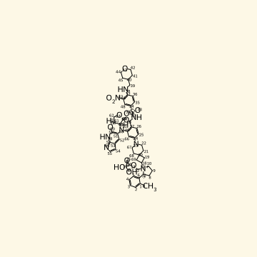 Cc1ccccc1[C@@H]1CCC[N+]1(COP(=O)(O)O)C1CC2(CCN(c3ccc(C(=O)NS(=O)(=O)c4ccc(NCC5CCOCC5)c([N+](=O)[O-])c4)c(N4c5cc6ccnc-6[nH]c5O[C@@H]5COC[C@H]54)c3)CC2)C1